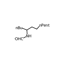 CCCCCCCC(CCCC)N[C]=O